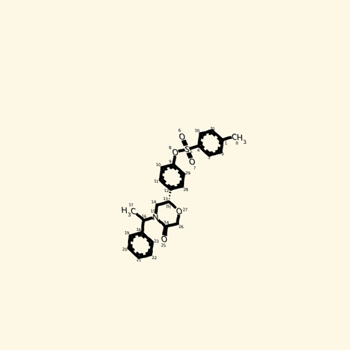 Cc1ccc(S(=O)(=O)Oc2ccc([C@H]3CN(C(C)c4ccccc4)C(=O)CO3)cc2)cc1